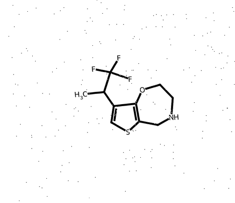 CC(c1csc2c1OCCNC2)C(F)(F)F